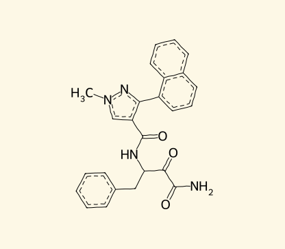 Cn1cc(C(=O)NC(Cc2ccccc2)C(=O)C(N)=O)c(-c2cccc3ccccc23)n1